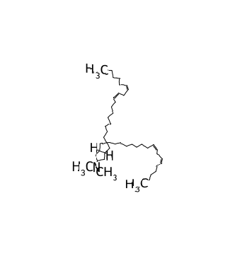 CCCCC/C=C\C/C=C\CCCCCCCCC1(CCCCCCCC/C=C\C/C=C\CCCCC)C[C@H]2C[C@H](N(C)C)C[C@H]2C1